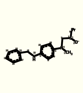 CC(C)[S+]([O-])CN(C)c1ccc(NCc2ccccc2)cc1